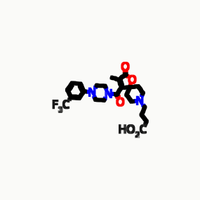 CC1=C(C(=O)N2CCN(c3cccc(C(F)(F)F)c3)CC2)C2(CCN(CCCC(=O)O)CC2)OC1=O